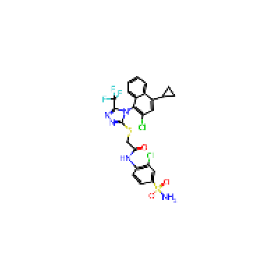 NS(=O)(=O)c1ccc(NC(=O)CSc2nnc(C(F)(F)F)n2-c2c(Cl)cc(C3CC3)c3ccccc23)c(Cl)c1